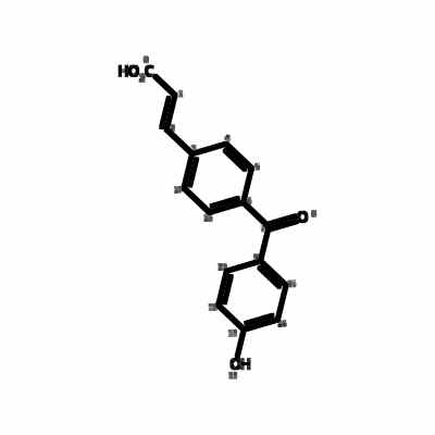 O=C(O)C=Cc1ccc(C(=O)c2ccc(O)cc2)cc1